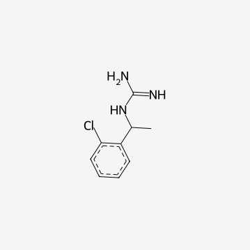 CC(NC(=N)N)c1ccccc1Cl